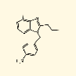 CCCc1nc2c(C)cccc2n1Cc1ccc(N)cc1